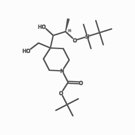 C[C@@H](O[Si](C)(C)C(C)(C)C)C(O)C1(CO)CCN(C(=O)OC(C)(C)C)CC1